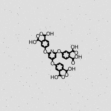 O=C(O)c1ccc(Oc2cc(Oc3ccc(C(=O)O)c(C(=O)O)c3)nc(Oc3ccc(C(=O)O)c(C(=O)O)c3)c2)cc1C(=O)O